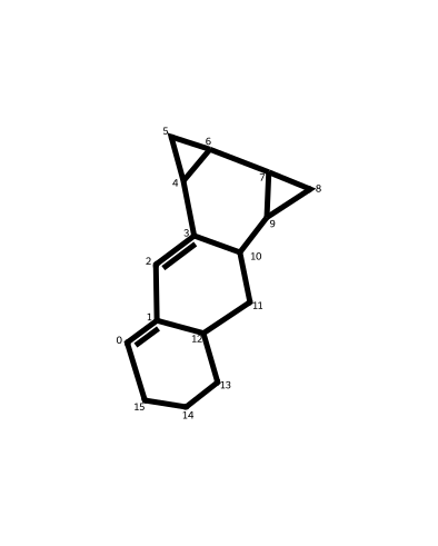 C1=C2C=C3C4CC4C4CC4C3CC2CCC1